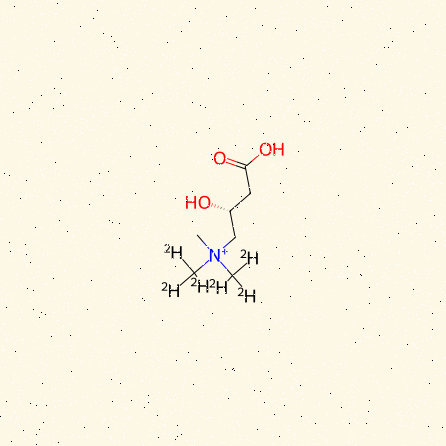 [2H]C([2H])([2H])[N+](C)(C[C@H](O)CC(=O)O)C([2H])([2H])[2H]